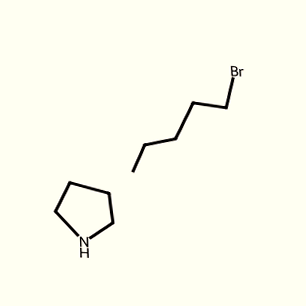 C1CCNC1.CCCCCBr